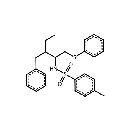 CCC(Cc1ccccc1)C(CSc1ccccc1)NS(=O)(=O)c1ccc(C)cc1